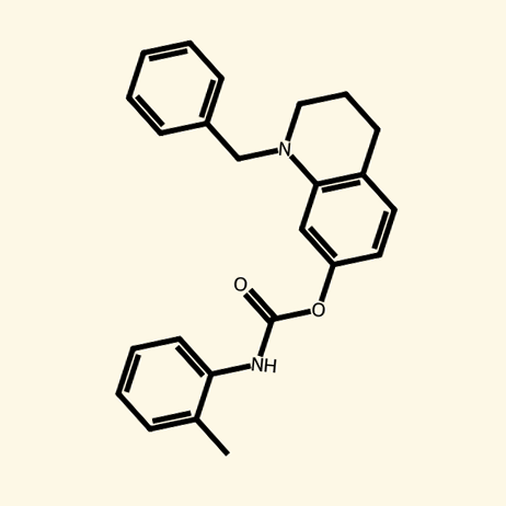 Cc1ccccc1NC(=O)Oc1ccc2c(c1)N(Cc1ccccc1)CCC2